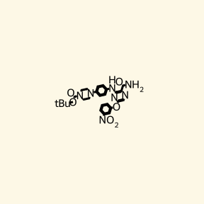 CC(C)(C)OC(=O)N1CCN(c2ccc(Nc3nc(Oc4cccc([N+](=O)[O-])c4)cnc3C(N)=O)cc2)CC1